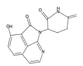 C=C1CCC(N2C(=O)c3c(O)ccc4ccnc2c34)C(=O)N1